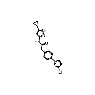 O=C(Cc1ccc(-c2ccc(Cl)s2)cc1)Nc1cc(C2CC2)[nH]n1